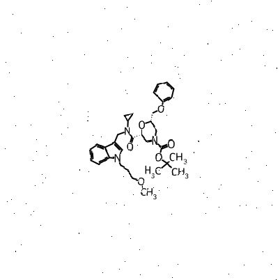 COCCCn1cc(CN(C(=O)[C@H]2CN(C(=O)OC(C)(C)C)C[C@@H](COc3ccccc3)O2)C2CC2)c2ccccc21